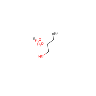 CCCCCCCO.O.O.[Ti]